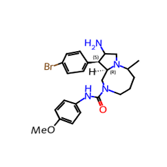 COc1ccc(NC(=O)N2CCCC(C)N3CC(N)[C@H](c4ccc(Br)cc4)[C@@H]3C2)cc1